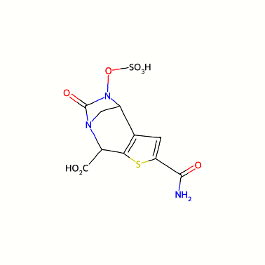 NC(=O)c1cc2c(s1)C(C(=O)O)N1CC2N(OS(=O)(=O)O)C1=O